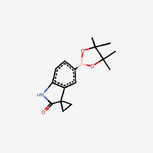 CC1(C)OB(c2ccc3c(c2)C2(CC2)C(=O)N3)OC1(C)C